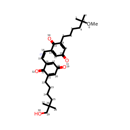 COC(C)(C)CCCCC1=CC(=O)C=C(/C=C\C2=CC(=O)C=C(CCCCC(C)(C)CO)C2=O)C1=O